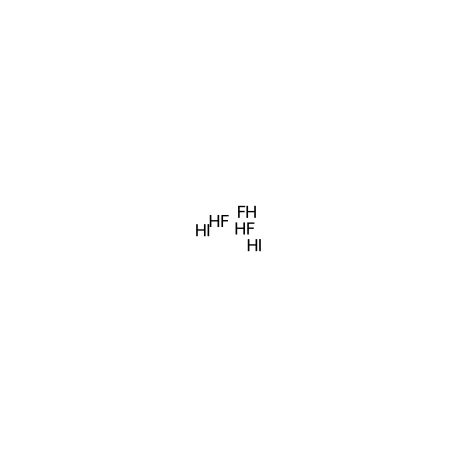 F.F.F.I.I